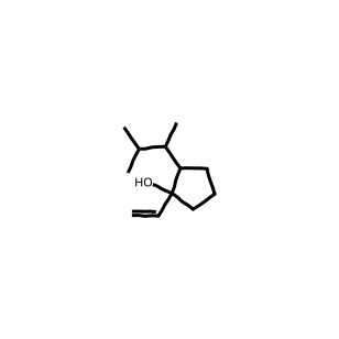 C=CC1(O)CCCC1C(C)C(C)C